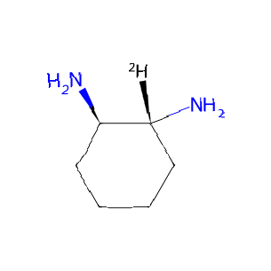 [2H][C@@]1(N)CCCC[C@H]1N